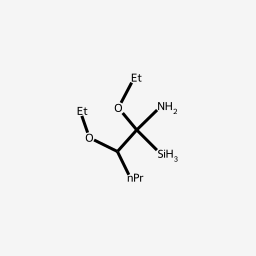 CCCC(OCC)C(N)([SiH3])OCC